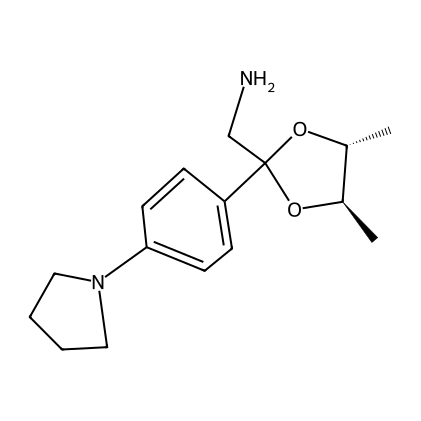 C[C@H]1OC(CN)(c2ccc(N3CCCC3)cc2)O[C@@H]1C